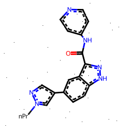 CCCn1cc(-c2ccc3[nH]nc(C(=O)Nc4ccncc4)c3c2)cn1